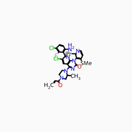 C=CC(=O)N1CCN(c2nc(=O)n(-c3c(SC)ccnc3C(C)C)c3nc(-c4c(N)ccc(Cl)c4F)c(Cl)cc23)C(C)C1